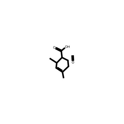 C=O.CC1=CC(C)C(C(=O)O)CC1